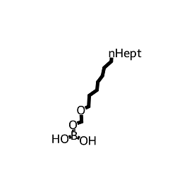 CCCCCCCCCCCCCCOCOB(O)O